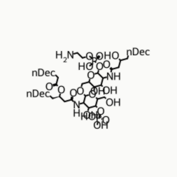 CCCCCCCCCCCC(=O)O[C@H](CCCCCCCCCCC)CC(=O)NC1C(OCC2OC(OP(=O)(O)OCCN)C(NC(=O)CC(O)CCCCCCCCCCC)C(O)C2O)OC(CO)C(OP(=O)(O)O)C1O